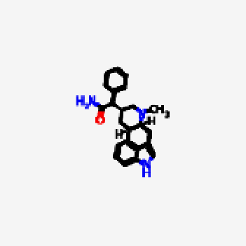 CN1C[C@H](C(C(N)=O)c2ccccc2)C[C@@H]2c3cccc4[nH]cc(c34)C[C@H]21